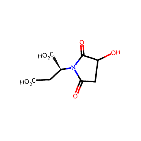 O=C(O)C[C@@H](C(=O)O)N1C(=O)CC(O)C1=O